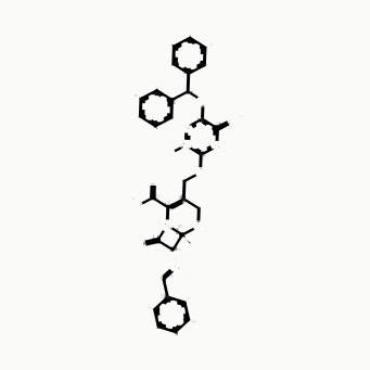 Cn1nc(OC(c2ccccc2)c2ccccc2)c(=O)nc1SCC1=C(C(=O)O)N2C(=O)[C@@H](/N=C/c3ccccc3)[C@H]2SC1